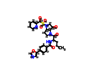 CCCC(NC(=O)c1ccc(-c2cnco2)cc1)C(=O)N1CCC2C1C(=O)CN2S(=O)(=O)C(=O)c1ccccn1